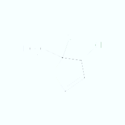 O=C(O)C1(Cl)SC=CC1Cl